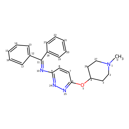 CN1CCC(Oc2ccc(N=C(c3ccccc3)c3ccccc3)nn2)CC1